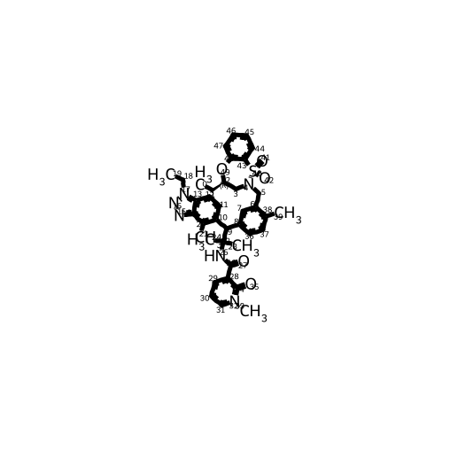 CC[C@@H]1CN(Cc2cc(C(c3ccc4c(nnn4CC)c3C)C(C)(C)NC(=O)c3cccn(C)c3=O)ccc2C)S(=O)(=O)c2ccccc2O1